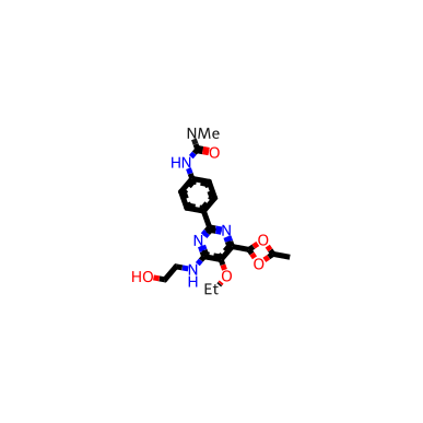 CCOc1c(NCCO)nc(-c2ccc(NC(=O)NC)cc2)nc1C1OC(C)O1